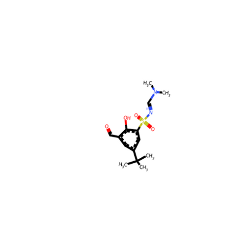 CN(C)/C=N/S(=O)(=O)c1cc(C(C)(C)C)cc(C=O)c1O